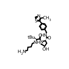 Cc1ncsc1-c1ccc(CNC(=O)[C@@H]2C[C@@H](O)CN2C(=O)[C@@H](NCCCCN)C(C)(C)C)cc1